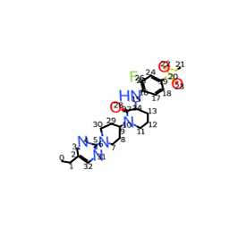 CCc1cnc(N2CCC(N3CCC[C@H](Nc4ccc(S(C)(=O)=O)cc4F)C3=O)CC2)nc1